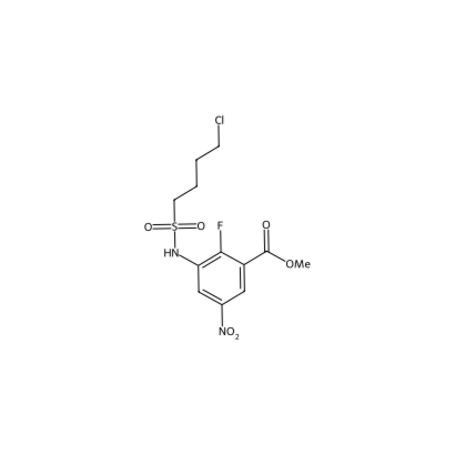 COC(=O)c1cc([N+](=O)[O-])cc(NS(=O)(=O)CCCCCl)c1F